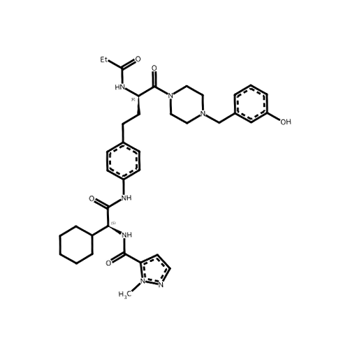 CCC(=O)N[C@H](CCc1ccc(NC(=O)[C@@H](NC(=O)c2ccnn2C)C2CCCCC2)cc1)C(=O)N1CCN(Cc2cccc(O)c2)CC1